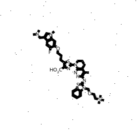 Cc1c(/N=c2\sc3ccccc3n2COCC[Si](C)(C)C)nnc2c1CCCN2c1nc(C(=O)O)c(CCCOc2cc3c(cc2F)c(CN(C)C)cn3C)s1